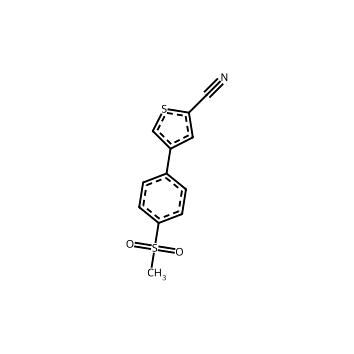 CS(=O)(=O)c1ccc(-c2csc(C#N)c2)cc1